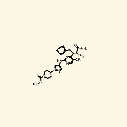 CC(C(N)=O)C(Cc1ccccc1)c1nc(Nc2cnn(C3CCN(C(=O)OC(C)(C)C)CC3)c2)ncc1C(F)(F)F